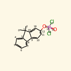 CC1(C)c2ccccc2-c2ccc(OP(=O)(Cl)Cl)cc21